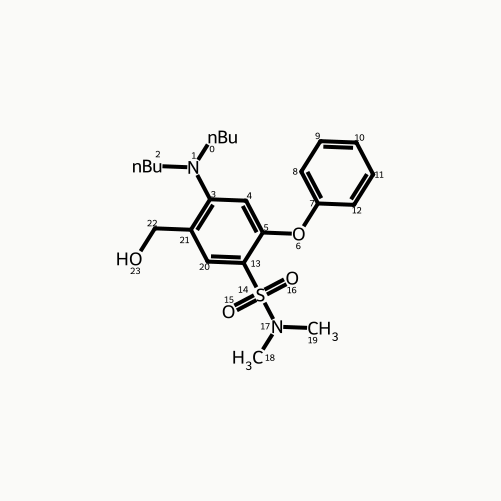 CCCCN(CCCC)c1cc(Oc2ccccc2)c(S(=O)(=O)N(C)C)cc1CO